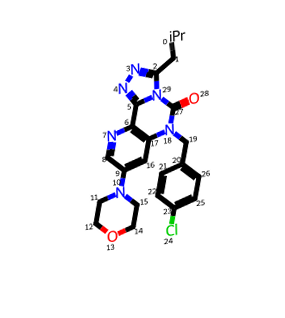 CC(C)Cc1nnc2c3ncc(N4CCOCC4)cc3n(Cc3ccc(Cl)cc3)c(=O)n12